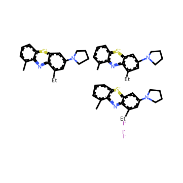 CCc1cc(N2CCCC2)cc2[s+]c3cccc(C)c3nc12.CCc1cc(N2CCCC2)cc2[s+]c3cccc(C)c3nc12.CCc1cc(N2CCCC2)cc2[s+]c3cccc(C)c3nc12.[I-].[I-].[I-]